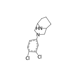 Clc1ccc(N2CC3CCCC(C2)N3)cc1Cl